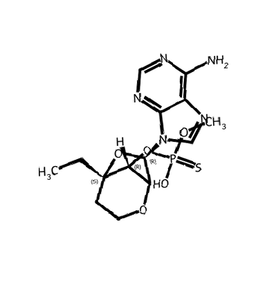 CC[C@@]12CCOC([C@H](n3cnc4c(N)ncnc43)O1)[C@H]2OP(O)(=S)OC